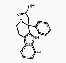 O=C(O)CC1(c2ccccc2)OCCc2c1[nH]c1c(Cl)cccc21